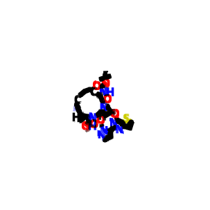 COC(=O)[C@@]12C[C@H]1/C=C\CCCCC[C@H](NC(=O)OC(C)(C)C)C(=O)N1C[C@H](Oc3nc(-c4ccnn4C)nc4ccsc34)C[C@H]1C(=O)N2